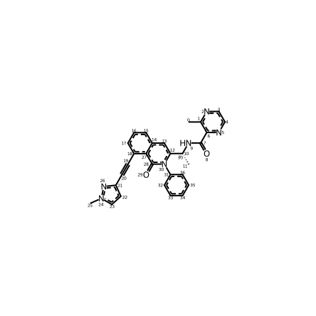 Cc1nccnc1C(=O)N[C@H](C)c1cc2cccc(C#Cc3ccn(C)n3)c2c(=O)n1-c1ccccc1